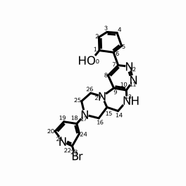 Oc1ccccc1-c1cc2c(nn1)NCC1CN(c3ccnc(Br)c3)CCN21